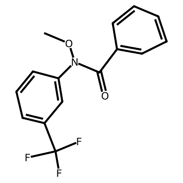 CON(C(=O)c1ccccc1)c1cccc(C(F)(F)F)c1